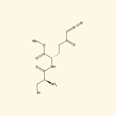 CC(C)C[C@H](N)C(=O)N[C@@H](CCC(=O)C=[N+]=[N-])C(=O)OC(C)(C)C